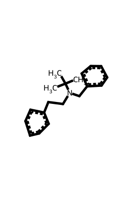 CC(C)(C)N(CCc1ccccc1)Cc1ccccc1